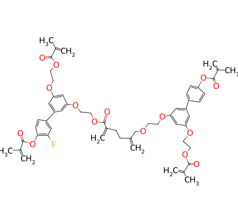 C=C(CCC(=C)C(=O)OCCOc1cc(OCCOC(=O)C(=C)C)cc(-c2ccc(OC(=O)C(=C)C)c(F)c2)c1)COCCOc1cc(OCCOC(=O)C(=C)C)cc(-c2ccc(OC(=O)C(=C)C)cc2)c1